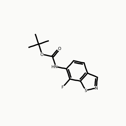 CC(C)(C)OC(=O)Nc1ccc2cnsc2c1F